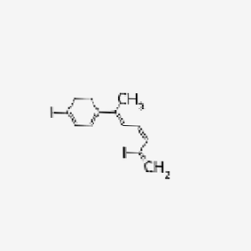 C=C(I)/C=C\C=C(/C)C1=CC=C(I)CC1